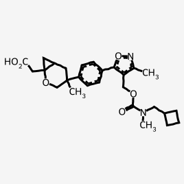 Cc1noc(-c2ccc(C3(C)COC4(CC(=O)O)CC4C3)cc2)c1COC(=O)N(C)CC1CCC1